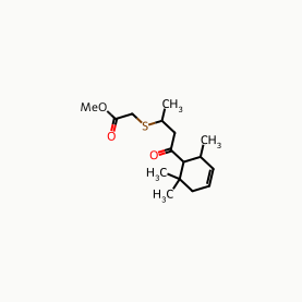 COC(=O)CSC(C)CC(=O)C1C(C)C=CCC1(C)C